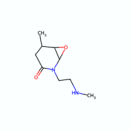 CNCCN1C(=O)CC(C)C2OC21